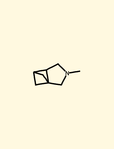 CN1CC2C3CC2(C3)C1